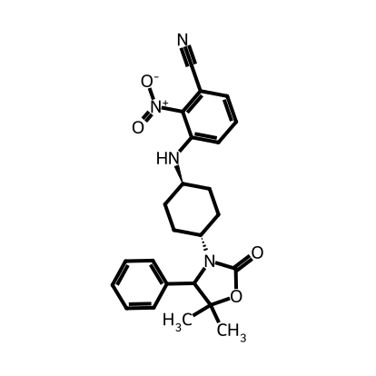 CC1(C)OC(=O)N([C@H]2CC[C@H](Nc3cccc(C#N)c3[N+](=O)[O-])CC2)C1c1ccccc1